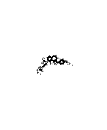 COc1ccc(-c2n[nH]c3c2CCCc2ccc(N4CC(CNC(C)=O)OC4=O)cc2-3)cc1